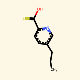 CCCc1ccc(C(O)=S)nc1